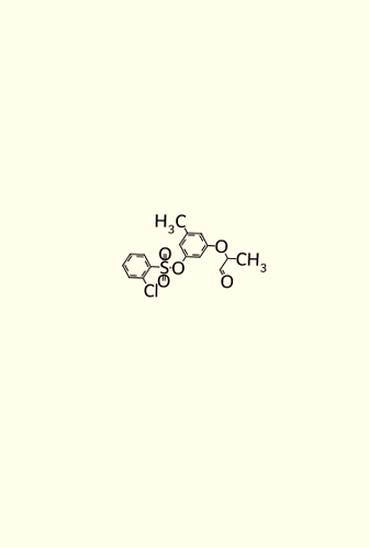 Cc1cc(OC(C)C=O)cc(OS(=O)(=O)c2ccccc2Cl)c1